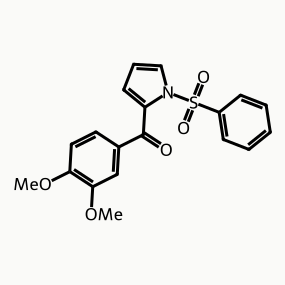 COc1ccc(C(=O)c2cccn2S(=O)(=O)c2ccccc2)cc1OC